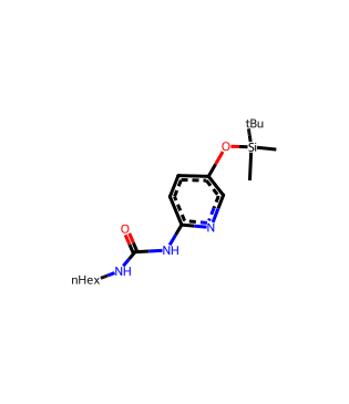 CCCCCCNC(=O)Nc1ccc(O[Si](C)(C)C(C)(C)C)cn1